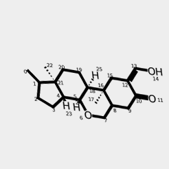 CC1CC[C@H]2[C@@H]3OCC4CC(=O)C(=CO)C[C@]4(C)[C@@H]3CC[C@]12C